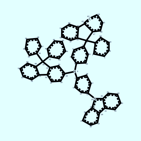 c1ccc(C2(c3ccc(N(c4ccc(-n5c6ccccc6c6ccccc65)cc4)c4ccc5c(c4)C(c4ccccc4)(c4ccccc4)c4ccccc4-5)cc3)c3ccccc3-c3ccccc32)cc1